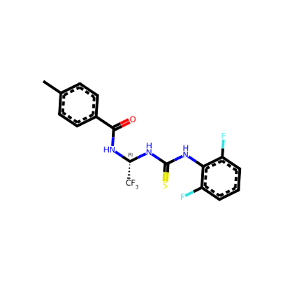 Cc1ccc(C(=O)N[C@H](NC(=S)Nc2c(F)cccc2F)C(F)(F)F)cc1